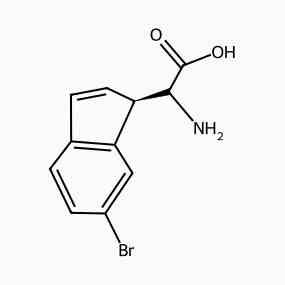 NC(C(=O)O)[C@@H]1C=Cc2ccc(Br)cc21